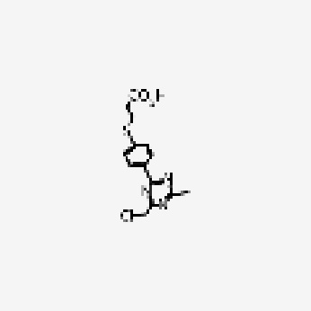 Cc1nc(CCl)nc(-c2ccc(SCCC(=O)O)cc2)n1